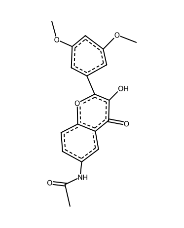 COc1cc(OC)cc(-c2oc3ccc(NC(C)=O)cc3c(=O)c2O)c1